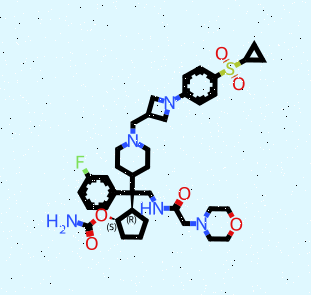 NC(=O)O[C@H]1CCC[C@@H]1C(CNC(=O)CN1CCOCC1)(c1cccc(F)c1)C1CCN(CC2CN(c3ccc(S(=O)(=O)C4CC4)cc3)C2)CC1